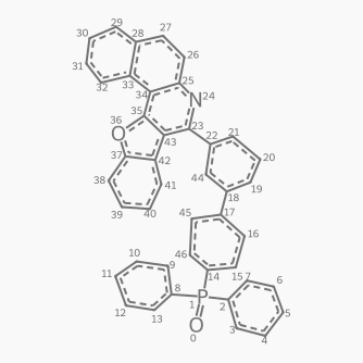 O=P(c1ccccc1)(c1ccccc1)c1ccc(-c2cccc(-c3nc4ccc5ccccc5c4c4oc5ccccc5c34)c2)cc1